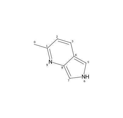 Cc1ccc2c[nH]cc2n1